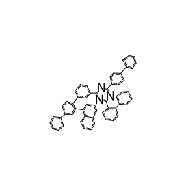 c1ccc(-c2ccc(-c3nc(-c4cccc(-c5ccc(-c6ccccc6)cc5-c5cccc6ccccc56)c4)nc(-c4ccccc4-c4ccccc4)n3)cc2)cc1